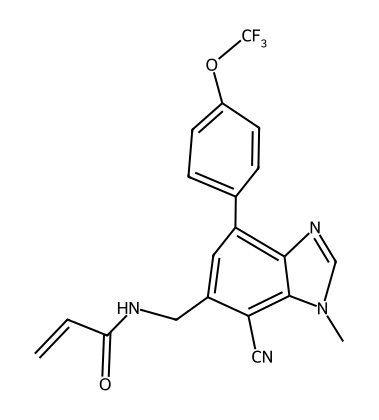 C=CC(=O)NCc1cc(-c2ccc(OC(F)(F)F)cc2)c2ncn(C)c2c1C#N